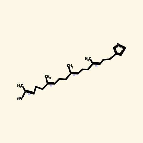 CCC/C(C)=C/CC/C(C)=C/CC/C(C)=C/CC/C(C)=C/CCc1ccsc1